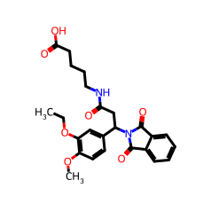 CCOc1cc(C(CC(=O)NCCCCC(=O)O)N2C(=O)c3ccccc3C2=O)ccc1OC